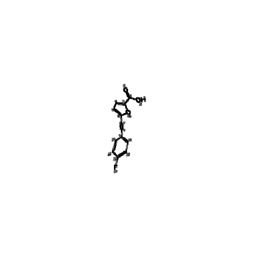 O=C(O)c1ccc(C#Cc2ccc(F)cc2)o1